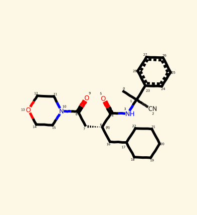 CC(C#N)(NC(=O)[C@@H](CC(=O)N1CCOCC1)CC1CCCCC1)c1ccccc1